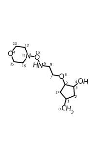 CC1CC(O)C(OCCNON2CCOCC2)C1